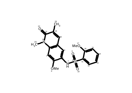 COc1cc2c(cc1NS(=O)(=O)c1ccccc1OC)cc(C)c(=O)n2C